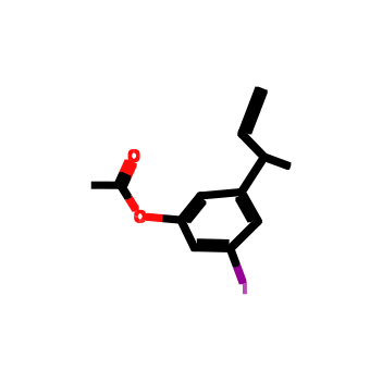 C=C[C](C)c1cc(I)cc(OC(C)=O)c1